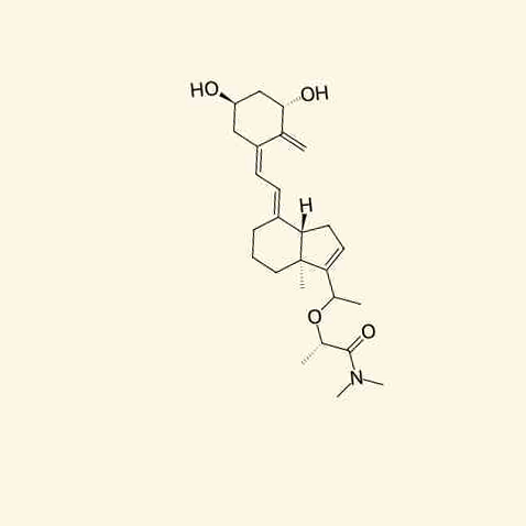 C=C1/C(=C\C=C2/CCC[C@]3(C)C(C(C)O[C@@H](C)C(=O)N(C)C)=CC[C@@H]23)C[C@@H](O)C[C@@H]1O